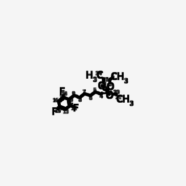 CCO[Si](CCCCCCc1c(F)cc(F)cc1F)(OCC)OCC